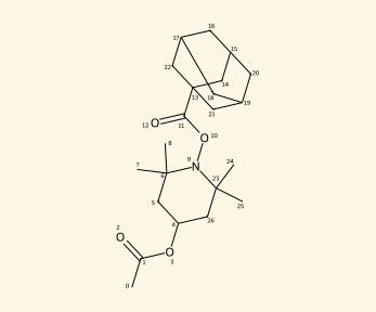 CC(=O)OC1CC(C)(C)N(OC(=O)C23CC4CC(CC(C4)C2)C3)C(C)(C)C1